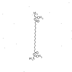 CC(C)OC(=O)CCCCCCCCCCCCCCCCCC(=O)OC(C)C